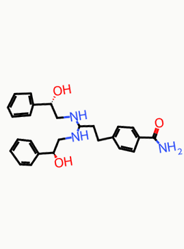 NC(=O)c1ccc(CCC(NC[C@@H](O)c2ccccc2)NC[C@@H](O)c2ccccc2)cc1